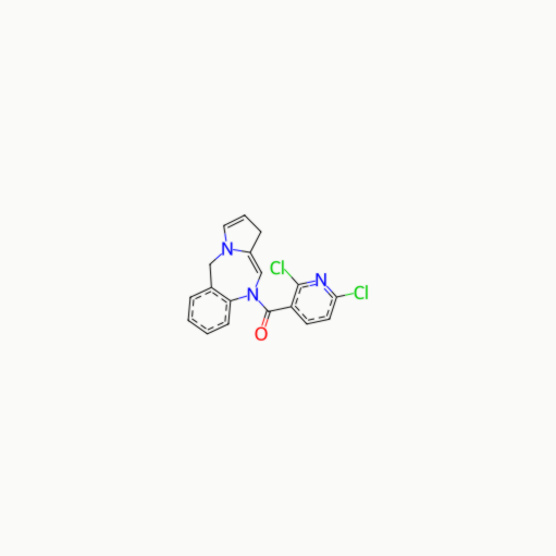 O=C(c1ccc(Cl)nc1Cl)N1C=C2CC=CN2Cc2ccccc21